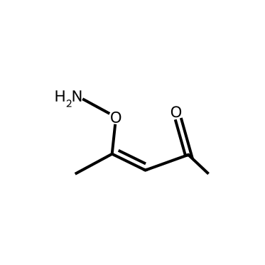 CC(=O)/C=C(/C)ON